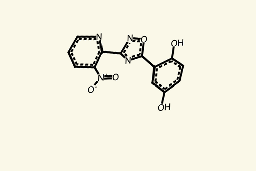 O=[N+]([O-])c1cccnc1-c1noc(-c2cc(O)ccc2O)n1